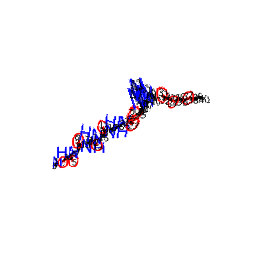 C=NOCC(=O)NCC(=O)NCC(=O)NCC(=O)NCCNC(=O)OCc1cn(CCOCCOCCOCCC)nn1